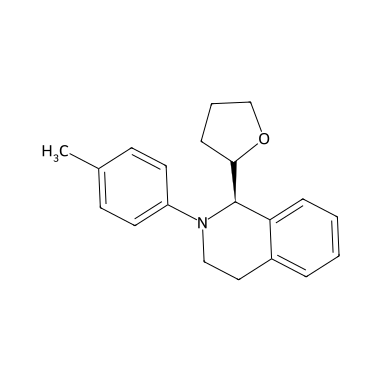 Cc1ccc(N2CCc3ccccc3[C@@H]2C2CCCO2)cc1